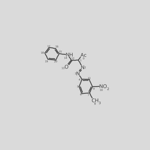 CC(=O)C(N=Nc1ccc(C)c([N+](=O)[O-])c1)C(=O)Nc1ccccc1